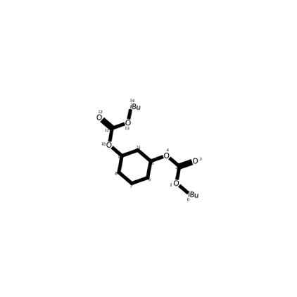 CCC(C)OC(=O)OC1CCCC(OC(=O)OC(C)CC)C1